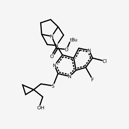 CC(C)(C)OC(=O)N1C2CCC1CN(c1nc(SCC3(CO)CC3)nc3c(F)c(Cl)ncc13)C2